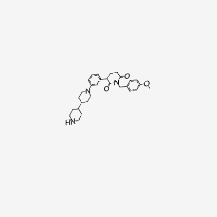 COc1ccc(CN2C(=O)CCC(c3cccc(N4CCC(C5CCNCC5)CC4)c3)C2=O)cc1